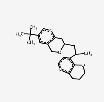 CC(CC1Cc2ncc(C(C)(C)C)cc2CO1)c1ccnc2c1OCCC2